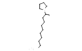 CCCCCCCCCCCCCCCCCC(Br)N1CCCC1